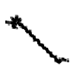 CCCCC/C=C\CCCCCCCCCCCCCCCCCOP(=O)(O)C(CC)[N+](C)(C)C